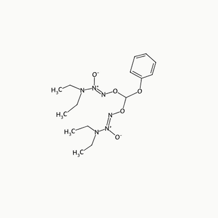 CCN(CC)[N+]([O-])=NOC(ON=[N+]([O-])N(CC)CC)Oc1ccccc1